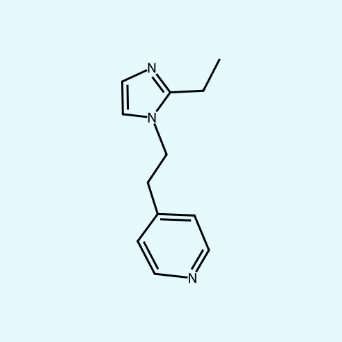 CCc1nccn1CCc1ccncc1